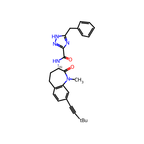 CN1C(=O)[C@@H](NC(=O)c2n[nH]c(Cc3ccccc3)n2)CCc2ccc(C#CC(C)(C)C)cc21